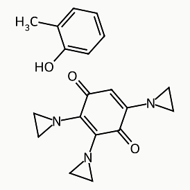 Cc1ccccc1O.O=C1C=C(N2CC2)C(=O)C(N2CC2)=C1N1CC1